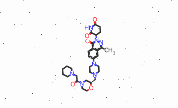 Cc1nn(C2CCC(=O)NC2=O)c(=O)c2ccc(N3CCN(C[C@@H]4CN(C(=O)CN5CCCCC5)CCO4)CC3)cc12